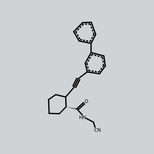 N#CCNC(=O)[C@@H]1CCCCC1C#Cc1cccc(-c2ccccc2)c1